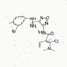 C=C/C(C(=O)Nc1nonc1C(=N)Nc1ccc(C)c(Br)c1)=C(/Cl)N(C)C